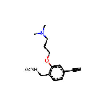 C#Cc1ccc(CNC(C)=O)c(OCCCN(C)C)c1